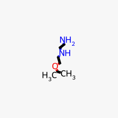 CC(C)OCCNCCN